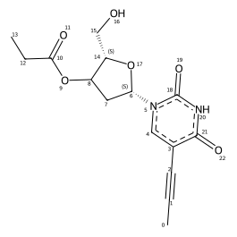 CC#Cc1cn([C@@H]2CC(OC(=O)CC)[C@H](CO)O2)c(=O)[nH]c1=O